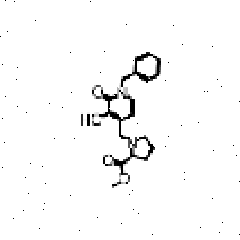 COC(=O)C1CCCN1Cc1ccn(Cc2ccccc2)c(=O)c1O